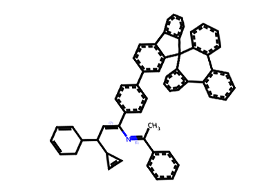 C/C(=N\C(=C/C(C1C=C1)C1C=CC=CC1)c1ccc(-c2ccc3c(c2)C2(c4ccccc4-c4ccccc4-c4ccccc42)c2ccccc2-3)cc1)c1ccccc1